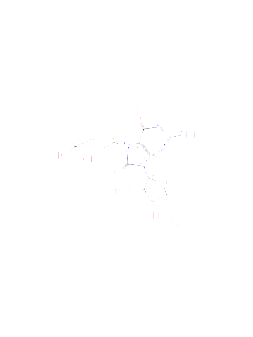 Nc1nc2c(c(=O)[nH]1)n(CCCC(O)(O)O)c(=O)n2C1OC(CO)C(O)C1O